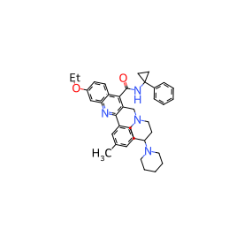 CCOc1ccc2c(C(=O)NC3(c4ccccc4)CC3)c(CN3CCC(N4CCCCC4)CC3)c(-c3cccc(C)c3)nc2c1